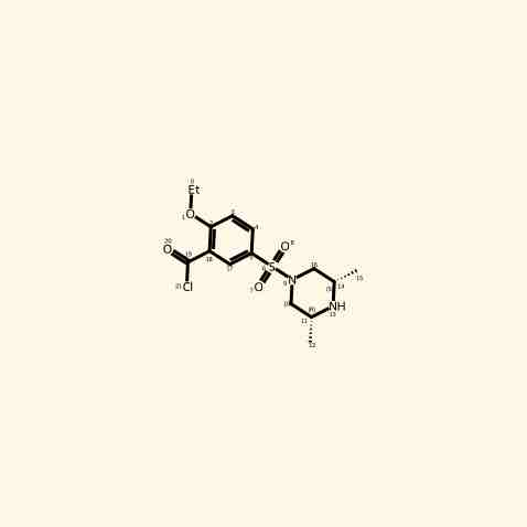 CCOc1ccc(S(=O)(=O)N2C[C@@H](C)N[C@@H](C)C2)cc1C(=O)Cl